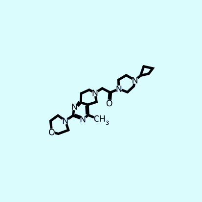 Cc1nc(N2CCOCC2)nc2c1CN(CC(=O)N1CCN(C3CCC3)CC1)CC2